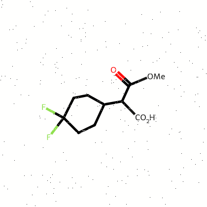 COC(=O)C(C(=O)O)C1CCC(F)(F)CC1